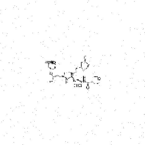 C=C/C(=C\C=C(/C)N/C(=N/C=C(\C=O)NC(=O)C1CCOCC1)N(C)CC/C(=C/C)C/C=C\CCl)OC(/C=C\NC)=C/C=O